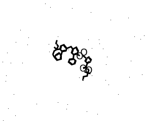 CCCC(C)(C)OC(=O)c1cccc(C(=O)Oc2ccc(Cc3ccc4c(c3)-c3ccc(cc3)CCC4(C)CCC)cc2-c2ccccc2)c1